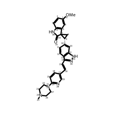 COc1ccc2c(c1)C1(C[C@@H]1c1ccc3c(/C=C/c4ccc(N5CCN(C)CC5)nc4)n[nH]c3c1)C(=O)N2